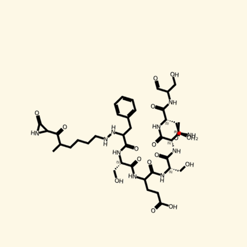 CC(CCCCNNC(Cc1ccccc1)C(=O)N[C@@H](CO)C(=O)NC(CCC(=O)O)C(=O)N[C@@H](CO)C(=O)N[C@H](C(=O)N[C@@H](CC(N)=O)C(=O)NC(C=O)CO)[C@@H](C)O)C(=O)C1NC1=O